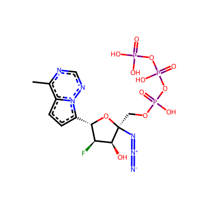 Cc1ncnn2c([C@@H]3O[C@@](COP(=O)(O)OP(=O)(O)OP(=O)(O)O)(N=[N+]=[N-])[C@@H](O)[C@H]3F)ccc12